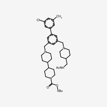 CCCCOC(=O)N1CCC(C2CCN(Cc3cc(CN4CCC(CNC(C)=O)CC4)cc(-c4cc(C)cc(Cl)c4)c3)CC2)CC1